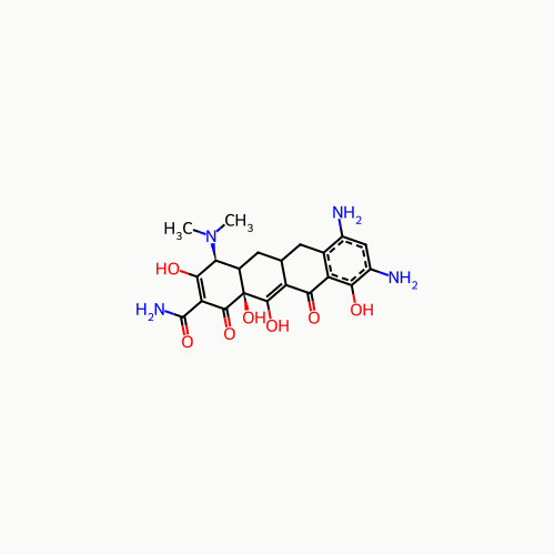 CN(C)[C@@H]1C(O)=C(C(N)=O)C(=O)[C@@]2(O)C(O)=C3C(=O)c4c(O)c(N)cc(N)c4CC3CC12